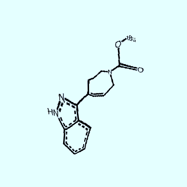 CC(C)(C)OC(=O)N1CC=C(c2n[nH]c3ccccc23)CC1